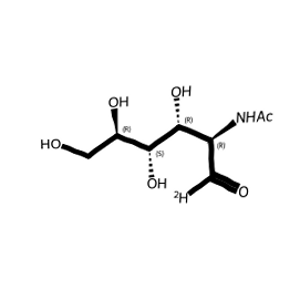 [2H]C(=O)[C@H](NC(C)=O)[C@@H](O)[C@H](O)[C@H](O)CO